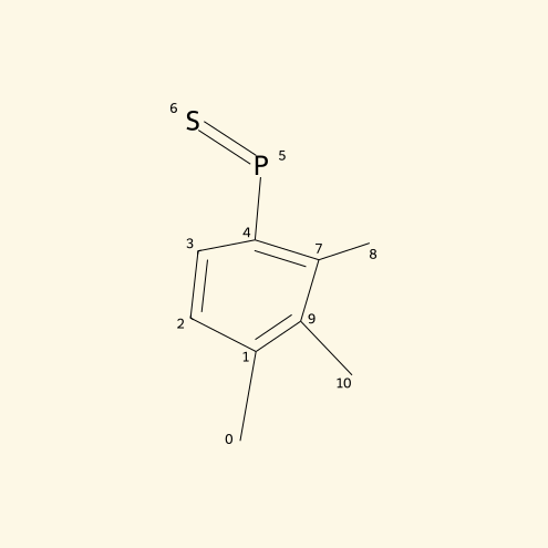 Cc1ccc(P=S)c(C)c1C